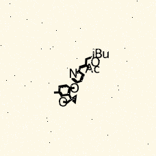 CC[C@@H](C)C(=O)C/C(=C/c1ccc(Oc2ccc(C)c3c2C2(CC2)CO3)cn1)C(C)=O